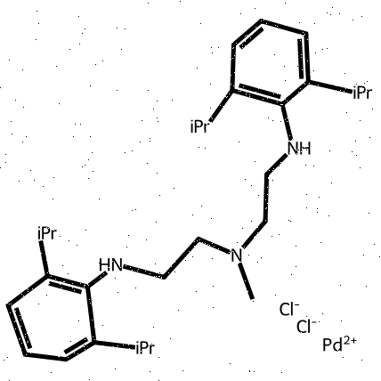 CC(C)c1cccc(C(C)C)c1NCCN(C)CCNc1c(C(C)C)cccc1C(C)C.[Cl-].[Cl-].[Pd+2]